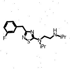 CC(C)NCCN(c1nc(Cc2cccc(F)c2)ns1)C(C)C